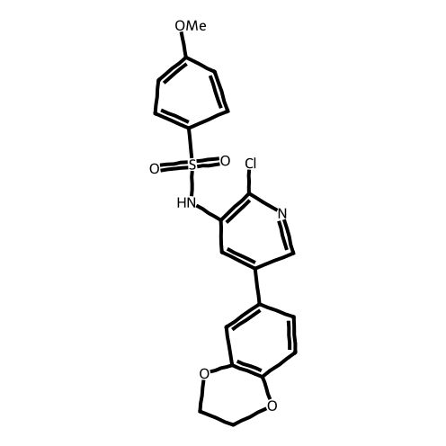 COc1ccc(S(=O)(=O)Nc2cc(-c3ccc4c(c3)OCCO4)cnc2Cl)cc1